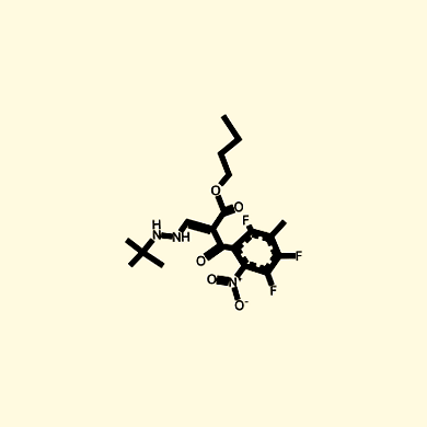 CCCCOC(=O)/C(=C/NNC(C)(C)C)C(=O)c1c(F)c(C)c(F)c(F)c1[N+](=O)[O-]